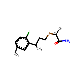 C[C](CCS[C@@H](C#N)C(N)=O)c1cc([N+](=O)[O-])ccc1F